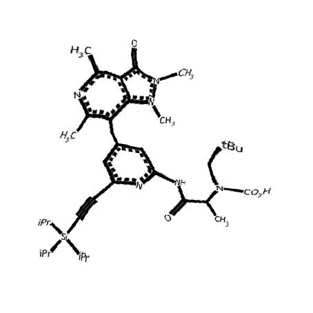 Cc1nc(C)c2c(=O)n(C)n(C)c2c1-c1cc(C#C[Si](C(C)C)(C(C)C)C(C)C)nc(NC(=O)C(C)N(CC(C)(C)C)C(=O)O)c1